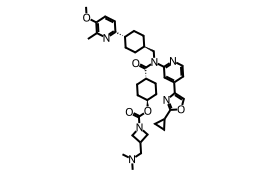 COc1ccc([C@H]2CC[C@H](CN(c3cc(-c4coc(C5CC5)n4)ccn3)C(=O)[C@H]3CC[C@H](OC(=O)N4CC(CN(C)C)C4)CC3)CC2)nc1C